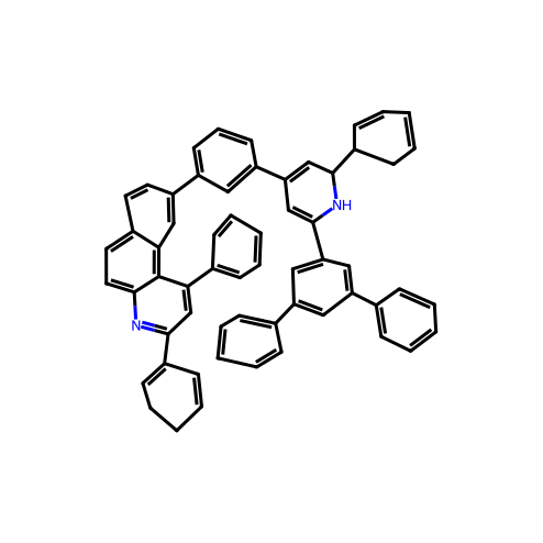 C1=CCC(C2C=C(c3cccc(-c4ccc5ccc6nc(C7=CCCC=C7)cc(-c7ccccc7)c6c5c4)c3)C=C(c3cc(-c4ccccc4)cc(-c4ccccc4)c3)N2)C=C1